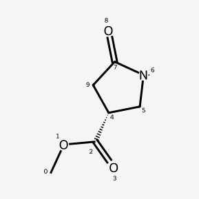 COC(=O)[C@H]1C[N]C(=O)C1